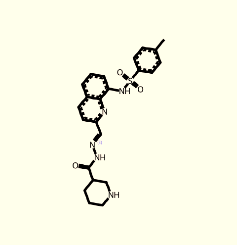 Cc1ccc(S(=O)(=O)Nc2cccc3ccc(/C=N/NC(=O)C4CCCNC4)nc23)cc1